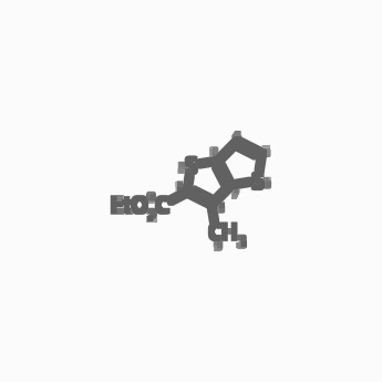 CCOC(=O)c1sc2ccsc2c1C